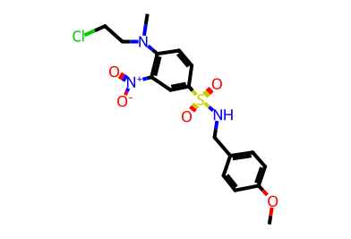 COc1ccc(CNS(=O)(=O)c2ccc(N(C)CCCl)c([N+](=O)[O-])c2)cc1